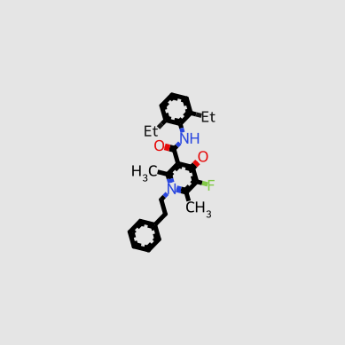 CCc1cccc(CC)c1NC(=O)c1c(C)n(CCc2ccccc2)c(C)c(F)c1=O